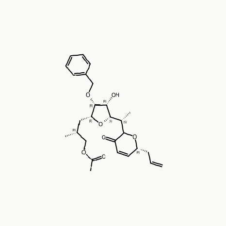 C=CC[C@@H]1C=CC(=O)C([C@@H](C)[C@@H]2O[C@H](C[C@@H](C)COC(C)=O)[C@H](OCc3ccccc3)[C@@H]2O)O1